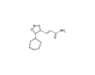 NC(=O)/C=C/c1cnoc1-c1ccccc1